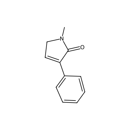 CN1CC=C(c2ccccc2)C1=O